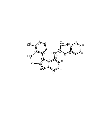 Cc1c(Cl)cccc1-c1c(I)sc2ncnc(N[C@H](Cc3ccccc3)C(=O)O)c12